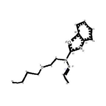 C/C=N/N(CCOCCCC)c1nc2ccccc2o1